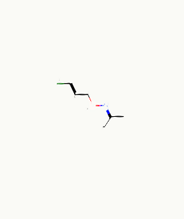 [CH2]C(C)=NOC/C=C/Cl